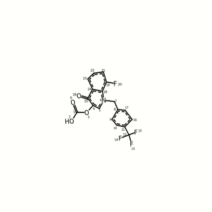 O=C(O)Oc1cn(Cc2ccc(C(F)(F)F)cc2)c2c(F)cccc2c1=O